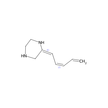 C=C/C=C\C=C1/CNCCN1